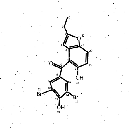 CCc1cc2c(C(=O)c3cc(Br)c(O)c(Br)c3)c(O)ccc2o1